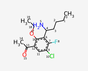 CCCCC(N)c1c(F)c(Cl)cc(C(C)=O)c1OCC